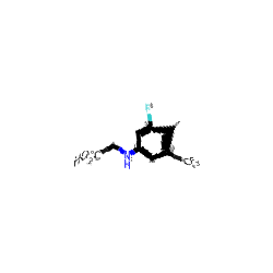 O=C(O)CNc1cc(F)cc(C(F)(F)F)c1